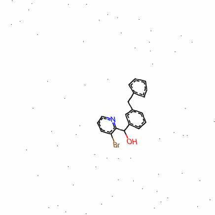 OC(c1cccc(Cc2ccccc2)c1)c1ncccc1Br